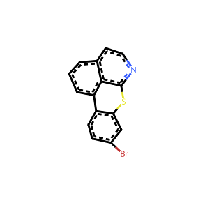 Brc1ccc2c(c1)Sc1nccc3cccc-2c13